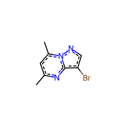 Cc1cc(C)n2ncc(Br)c2n1